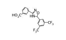 O=C(O)c1cccc(C2=NOC(c3cc(C(F)(F)F)cc(C(F)(F)F)c3)N2)c1